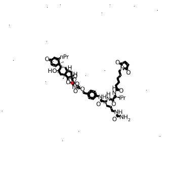 CCCC1=CC(=O)C=C[C@]1(C)[C@@H]1C[C@@H]2C[C@H]3OC(CCC)O[C@@]3(C(=O)COC(=O)OCc3ccc(NC(=O)[C@H](CCCNC(N)=O)NC(=O)[C@@H](NC(=O)CCCCCN4C(=O)C=CC4=O)C(C)C)cc3)[C@@]2(C)C[C@@H]1O